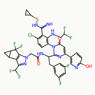 N=C(NSC1CC1)c1c(Cl)ccc(-n2c(C(Cc3cc(F)cc(F)c3)NC(=O)Cn3nc(C(F)F)c4c3C(F)(F)C3CC43)nc(-c3ccc(O)nc3)cc2=O)c1NCC(F)F